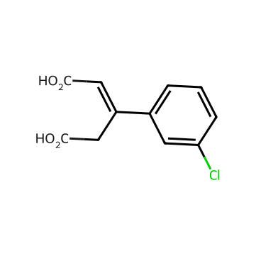 O=C(O)/C=C(\CC(=O)O)c1cccc(Cl)c1